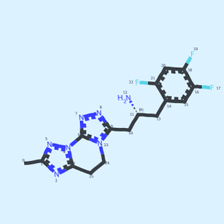 Cc1nc2n(n1)-c1nnc(C[C@H](N)Cc3cc(F)c(F)cc3F)n1CC2